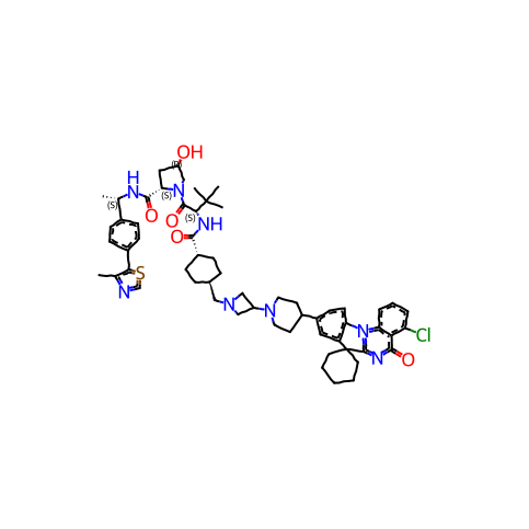 Cc1ncsc1-c1ccc([C@H](C)NC(=O)[C@@H]2C[C@@H](O)CN2C(=O)[C@@H](NC(=O)[C@H]2CC[C@H](CN3CC(N4CCC(c5ccc6c(c5)C5(CCCCC5)c5nc(=O)c7c(Cl)cccc7n5-6)CC4)C3)CC2)C(C)(C)C)cc1